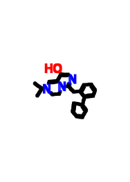 CC(C)N1C=C2C(O)=CN=C(Cc3ccccc3-c3ccccc3)N2CC1